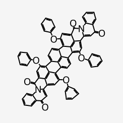 O=c1cc2c3cc(Oc4ccccc4)c4c5ccc6c7c(Oc8ccccc8)cc8c9c(cc(Oc%10ccccc%10)c(c%10ccc(c%11c(Oc%12ccccc%12)cc(c(=O)n2c2ccccc12)c3c%114)c5c%106)c79)c(=O)n1c2ccccc2c(=O)cc81